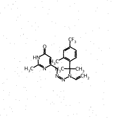 C=CN(/N=N\Cc1cc(=O)[nH]c(C)n1)C(C)(C)c1ccc(C(F)(F)F)cc1C